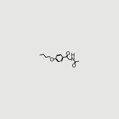 CCCCOc1ccc(C(=O)CNC(C)=O)cc1